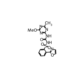 COc1nc(C)nc(NC(=O)NS(=O)(=O)c2ccccc2-c2ncco2)n1